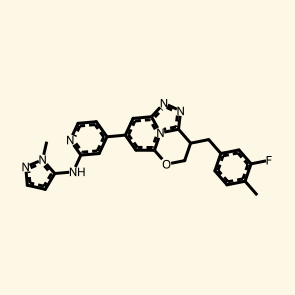 Cc1ccc(CC2COc3cc(-c4ccnc(Nc5ccnn5C)c4)cc4nnc2n34)cc1F